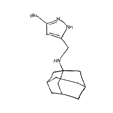 CC(C)(C)c1cc(CNC23CC4CC(CC(C4)C2)C3)[nH]n1